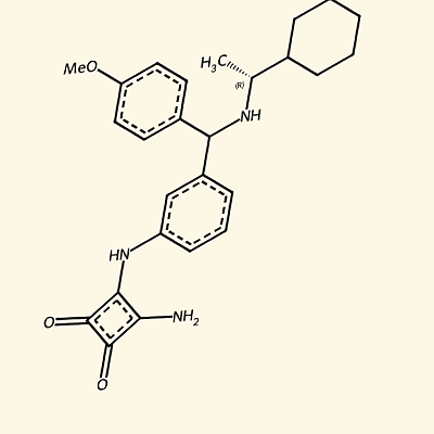 COc1ccc(C(N[C@H](C)C2CCCCC2)c2cccc(Nc3c(N)c(=O)c3=O)c2)cc1